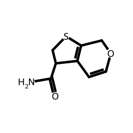 NC(=O)C1CSC2=C1C=COC2